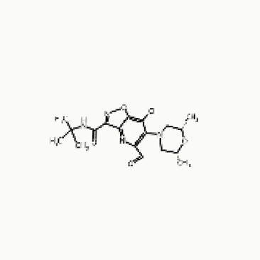 C[C@@H]1CN(c2c(C=O)nc3c(C(=O)NC(C)(C)C)noc3c2Cl)C[C@H](C)O1